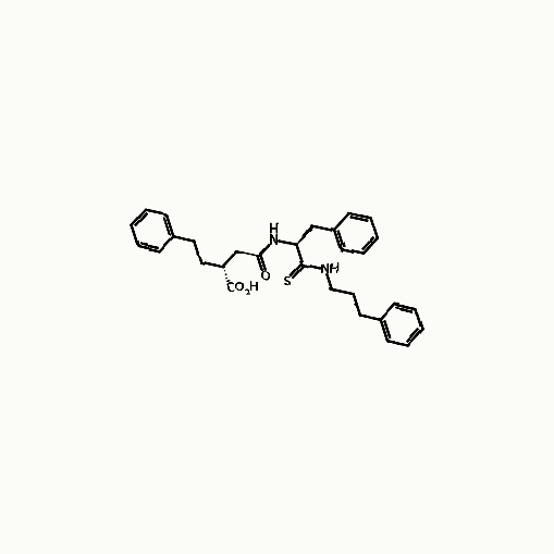 O=C(C[C@@H](CCc1ccccc1)C(=O)O)N[C@@H](Cc1ccccc1)C(=S)NCCCc1ccccc1